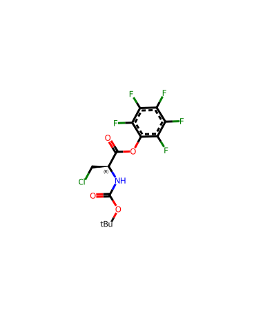 CC(C)(C)OC(=O)N[C@@H](CCl)C(=O)Oc1c(F)c(F)c(F)c(F)c1F